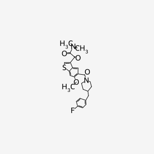 COc1cc2scc(C(=O)C(=O)N(C)C)c2cc1C(=O)N1CCC(Cc2ccc(F)cc2)CC1